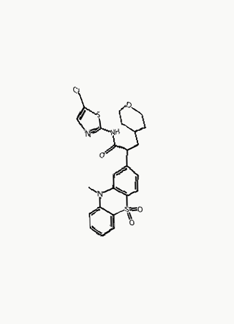 CN1c2ccccc2S(=O)(=O)c2ccc(C(CC3CCOCC3)C(=O)Nc3ncc(Cl)s3)cc21